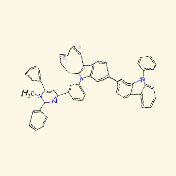 CN1C(c2ccccc2)=CC(c2cccc(-n3c4c(c5ccc(-c6ccc7c8ccccc8n(-c8ccccc8)c7c6)cc53)/C=C\C=C\CC4)c2)=NC1c1ccccc1